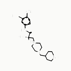 C[C@](O)(CN1CCN(CC2CCNCC2)CC1)C(=O)Nc1ccc(C#N)c(C(F)(F)F)c1